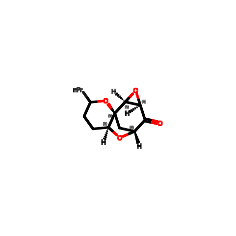 CCCC1CC[C@@H]2O[C@@H]3C[C@@]2(O1)[C@H]1O[C@H]1C3=O